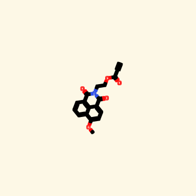 C#CC(=O)OCCN1C(=O)c2cccc3c(OC)ccc(c23)C1=O